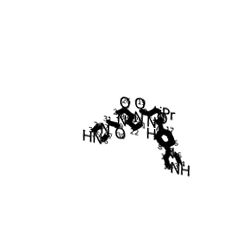 CC(C)CC(NC(=O)c1ccc(N2CCNCC2)cc1)C(=O)N1CCC2C1C(=O)CN2C(=O)CN1CCNCC1